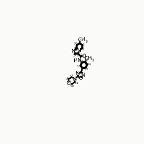 Cc1ccn2c(C(=O)Nc3cc(-c4noc(N5CCOCC5)n4)ccc3C)cnc2c1